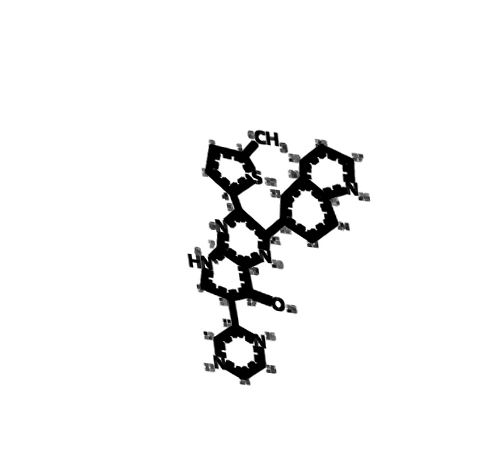 Cc1ccc(-c2nc3[nH]cc(-c4cnccn4)c(=O)c3nc2-c2ccc3ncccc3c2)s1